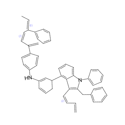 C=C/C=C\c1c(Cc2ccccc2)n(-c2ccccc2)c2cccc(C3C=C(Nc4ccc(C(=C)/C=C\C(=C/C)c5ccccc5)cc4)C=CC3)c12